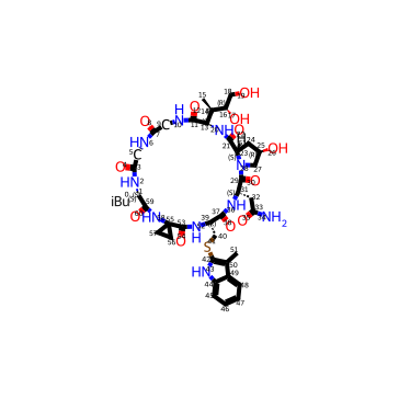 CC[C@H](C)[C@@H]1NC(=O)CNC(=O)CNC(=O)[C@H]([C@@H](C)[C@@H](O)CO)NC(=O)[C@@H]2C[C@@H](O)CN2C(=O)[C@H](CC(N)=O)NC(=O)[C@H](CSc2[nH]c3ccccc3c2C)NC(=O)C2(CC2)NC1=O